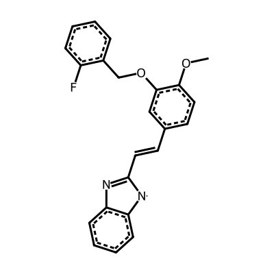 COc1ccc(C=CC2=Nc3ccccc3[N]2)cc1OCc1ccccc1F